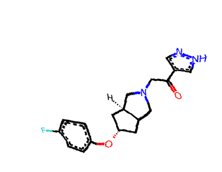 O=C(CN1CC2C[C@H](Oc3ccc(F)cc3)C[C@H]2C1)c1cn[nH]c1